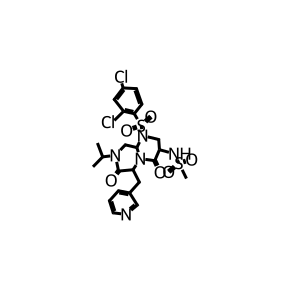 CC(C)N1CC2N(C(=O)C(NS(C)(=O)=O)CN2S(=O)(=O)c2ccc(Cl)cc2Cl)C(Cc2cccnc2)C1=O